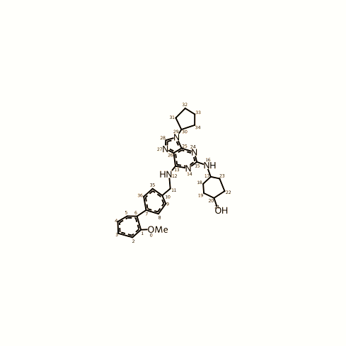 COc1ccccc1-c1ccc(CNc2nc(NC3CCC(O)CC3)nc3c2ncn3C2CCCC2)cc1